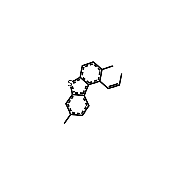 C/C=C\c1c(C)ccc2sc3cc(C)ccc3c12